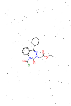 CCOC(=O)CN1N=C(C2CCCCC2)c2ccccc2N(C(=O)Cl)C1=O